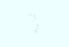 CC1=C(CC(=O)O)c2cc(F)ccc2/C1=C\c1ccc(Oc2ccc(F)c(Br)c2)cc1